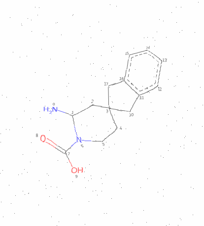 NC1CC2(CCN1C(=O)O)Cc1ccccc1C2